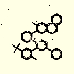 Cc1ccc(C(C)(C)C)cc1-c1cc(-c2ccccc2)cc[n+]1-[n+]1ccccc1-c1cc2ccc3ccccc3c2cc1C